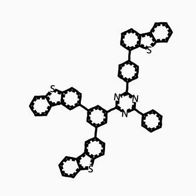 c1ccc(-c2nc(-c3ccc(-c4cccc5c4sc4ccccc45)cc3)nc(-c3cc(-c4ccc5sc6ccccc6c5c4)cc(-c4ccc5sc6ccccc6c5c4)c3)n2)cc1